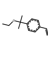 C=Cc1ccc(C(C)(C)OCC)cc1